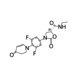 CCNC(=O)[C@H]1CN(c2cc(F)c(N3C=CC(=O)CC3)c(F)c2)C(=O)O1